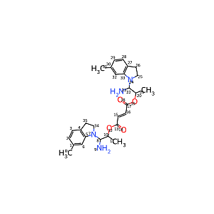 Cc1ccc2c(c1)N(C(N)C(C)OC(=O)/C=C/C(=O)OC(C)C(N)N1CCc3ccc(C)cc31)CC2